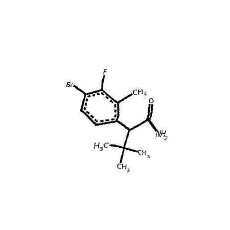 Cc1c(C(C(N)=O)C(C)(C)C)ccc(Br)c1F